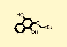 CC(C)(C)COc1cc(O)c2ccccc2c1O